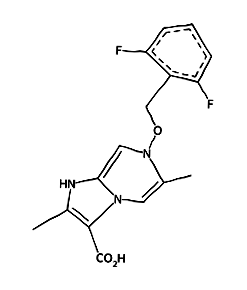 CC1=CN2C(=CN1OCc1c(F)cccc1F)NC(C)=C2C(=O)O